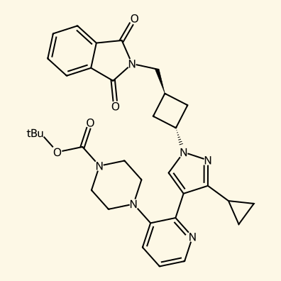 CC(C)(C)OC(=O)N1CCN(c2cccnc2-c2cn([C@H]3C[C@H](CN4C(=O)c5ccccc5C4=O)C3)nc2C2CC2)CC1